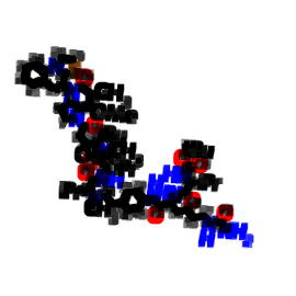 CC[C@H](C)[C@@H]([C@@H](CC(=O)N1CCC[C@H]1[C@H](OC)[C@@H](C)C(=O)N[C@@H](Cc1ccccc1)c1nccs1)OC)N(C)C(=O)[C@@H](NC(=O)[C@H](C(C)C)N(C)CCc1ccc(NC(=O)[C@H](CCCCNC(N)=O)NC(=O)[C@@H](NC(=O)OC(C)(C)C)C(C)C)cc1)C(C)C